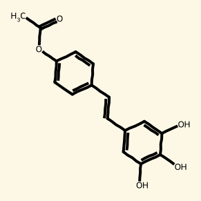 CC(=O)Oc1ccc(C=Cc2cc(O)c(O)c(O)c2)cc1